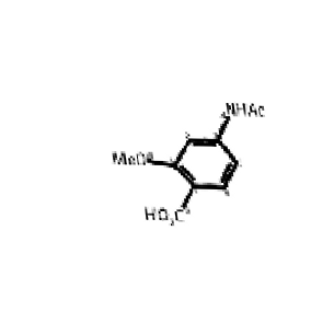 COc1cc(NC(C)=O)ccc1C(=O)O